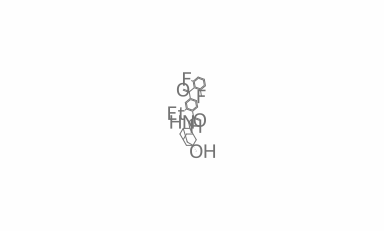 CCc1cc(C(=O)c2c(F)cccc2F)ccc1C(=O)N[C@H]1C2CC3CC1C[C@](O)(C3)C2